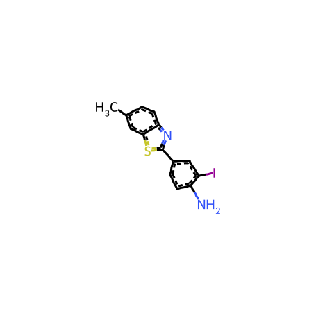 Cc1ccc2nc(-c3ccc(N)c(I)c3)sc2c1